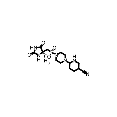 C[C@]1(CS(=O)(=O)N2CCN(C3CCC(C#N)CN3)CC2)NC(=O)NC1=O